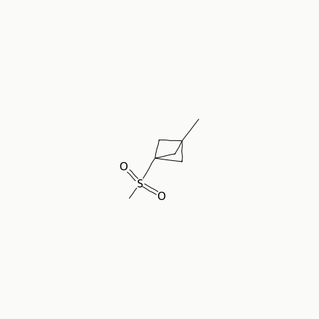 CC12CC(S(C)(=O)=O)(C1)C2